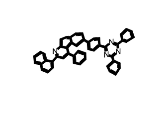 c1ccc(-c2nc(-c3ccccc3)nc(-c3ccc(-c4ccc5ccc6nc(-c7cccc8ccccc78)cc(-c7ccccc7)c6c5c4)cc3)n2)cc1